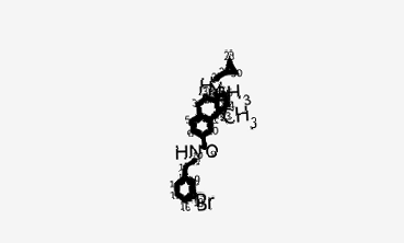 C[C@@H]1[C@H]2Cc3ccc(C(=O)NCCc4cccc(Br)c4)cc3[C@]1(C)CCN2CC1CC1